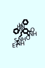 CCNC(=S)NCCCC1(Nc2ccccc2)C=C2C(=O)NC(=O)C2C=C1Nc1ccccc1